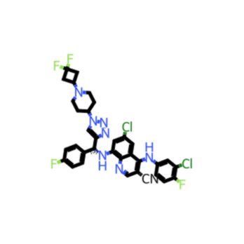 N#Cc1cnc2c(N[C@@H](c3ccc(F)cc3)c3cn(C4CCN(C5CC(F)(F)C5)CC4)nn3)cc(Cl)cc2c1Nc1ccc(F)c(Cl)c1